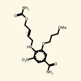 COCCCOc1cc(C(N)=O)cc([N+](=O)[O-])c1NC/C=C/COC(N)=O